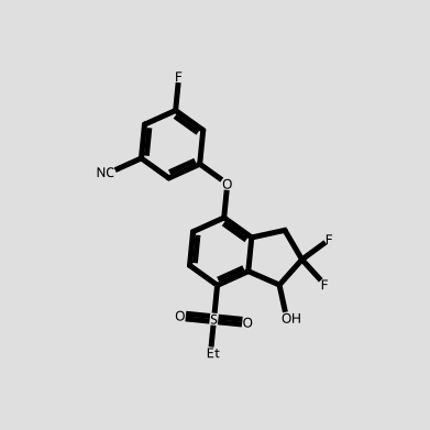 CCS(=O)(=O)c1ccc(Oc2cc(F)cc(C#N)c2)c2c1C(O)C(F)(F)C2